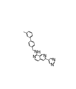 Cc1cccc(-c2ccc(CNc3nccc4cc(-c5cncnc5)ncc34)cc2)c1